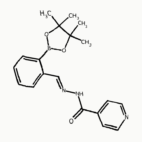 CC1(C)OB(c2ccccc2/C=N/NC(=O)c2ccncc2)OC1(C)C